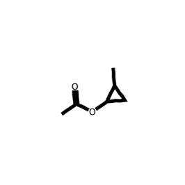 CC(=O)OC1CC1C